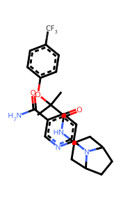 CC(C)(Oc1ccc(C(F)(F)F)cc1)C(=O)NC1CC2CCC(C1)N2c1ccc(C(N)=O)cn1